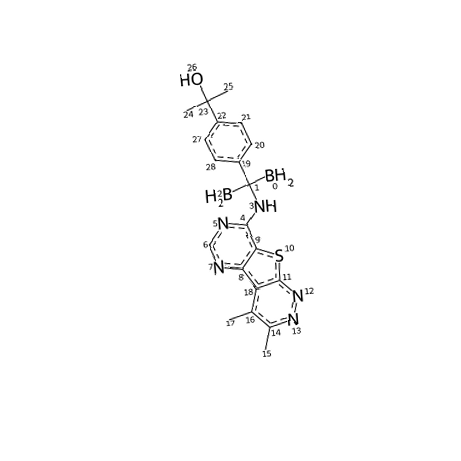 BC(B)(Nc1ncnc2c1sc1nnc(C)c(C)c12)c1ccc(C(C)(C)O)cc1